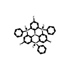 Fc1cc2c3c(c1)P(=S)(c1ccccc1)c1cc(F)cc4c1N3c1c(cc(F)cc1P4(=S)c1ccccc1)P2(=S)c1ccccc1